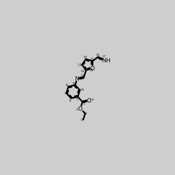 CCOC(=O)c1cccc(N=Cc2ccc(C=N)o2)c1